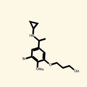 COc1c(Br)cc(C(C)NC2CC2)cc1OCCCO